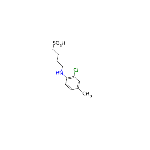 Cc1ccc(NCCCCS(=O)(=O)O)c(Cl)c1